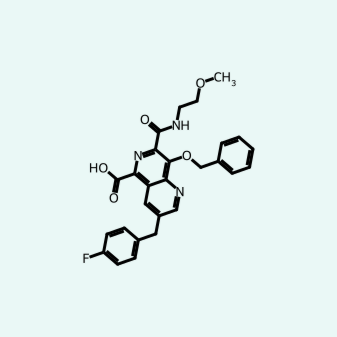 COCCNC(=O)c1nc(C(=O)O)c2cc(Cc3ccc(F)cc3)cnc2c1OCc1ccccc1